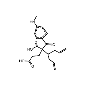 C=CCN(CC=C)C(CCC(=O)O)(C(=O)O)C(=O)c1ccc(NC)cc1